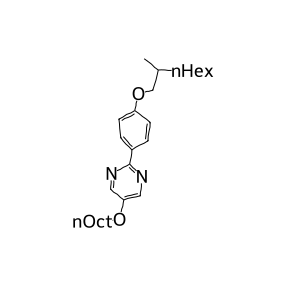 CCCCCCCCOc1cnc(-c2ccc(OCC(C)CCCCCC)cc2)nc1